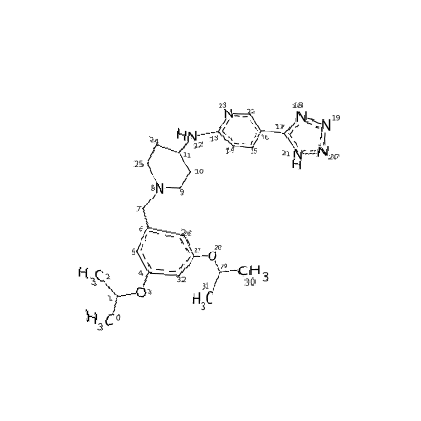 CC(C)Oc1cc(CN2CCC(Nc3ccc(-c4nnn[nH]4)cn3)CC2)cc(OC(C)C)c1